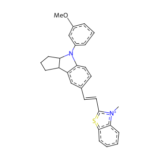 COc1cccc(N2c3ccc(/C=C/c4sc5ccccc5[n+]4C)cc3C3CCCC32)c1